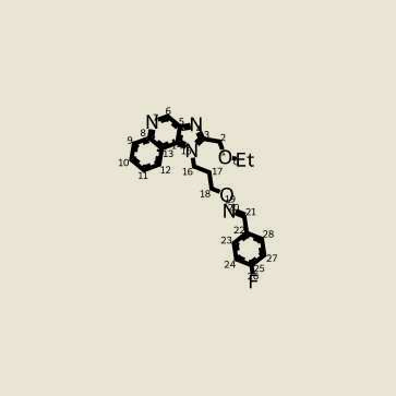 CCOCc1nc2cnc3ccccc3c2n1CCCO/N=C/c1ccc(F)cc1